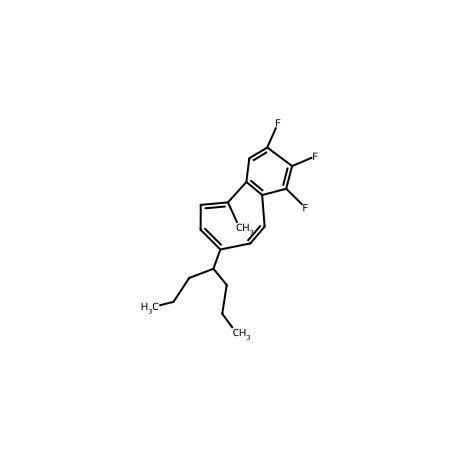 CCCC(CCC)C1=C/C=C(\C)c2cc(F)c(F)c(F)c2/C=C\1